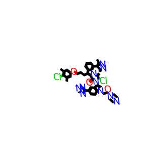 Cc1cc(OCCCc2c3n(c4c(-c5c(C)nn(C)c5C)cccc24)C(C)C(Cl)N(c2cn(CC(=O)N4CCN(C)CC4)c4ccc(-c5ncn(C)n5)cc24)C3=O)cc(C)c1Cl